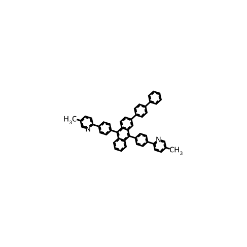 Cc1ccc(-c2ccc(-c3c4ccccc4c(-c4ccc(-c5ccc(C)cn5)cc4)c4cc(-c5ccc(-c6ccccc6)cc5)ccc34)cc2)nc1